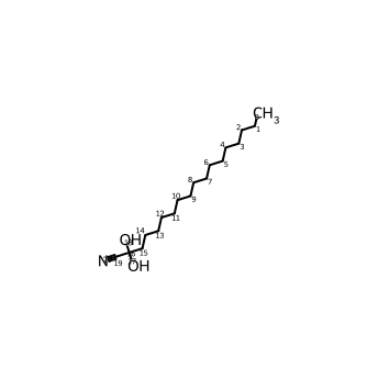 CCCCCCCCCCCCCCCCC(O)(O)C#N